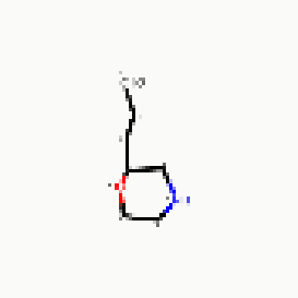 O=CCCC1CNCCO1